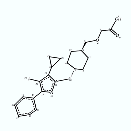 O=C(O)COC[C@H]1CC[C@H](Cn2nc(-c3ccccc3)c(I)c2C2CC2)CC1